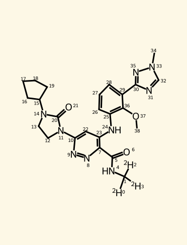 [2H]C([2H])([2H])NC(=O)c1nnc(N2CCN(C3CCCC3)C2=O)cc1Nc1cccc(-c2ncn(C)n2)c1OC